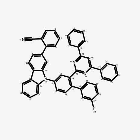 N#Cc1ccccc1-c1ccc2c3ccccc3n(-c3ccc(-c4cccc(F)c4)c(-c4nc(-c5ccccc5)nc(-c5ccccc5)n4)c3)c2c1